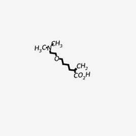 C=C(CCCCOCCN(C)C)C(=O)O